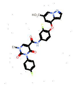 CCn1cc(C(=O)Nc2ccc(Oc3cc(C(=O)O)cn4nccc34)c(F)c2)c(=O)n(-c2ccc(F)cc2)c1=O